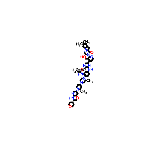 C=CC(=O)Nc1cc(Nc2nc(-c3ccnc(N4CCn5c(cc6c5CC(C)(C)C6)C4=O)c3CO)cnc2OC)ccc1N1CCN(C2CCN(c3cnc4c(c3)OC[C@H](C3CCOCC3)N4)[C@H](C)C2)C[C@@H]1C